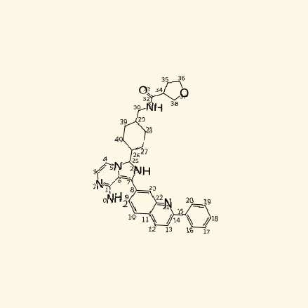 NC1=NC=CN2C1=C(c1ccc3ccc(-c4ccccc4)nc3c1)NC2C1CCC(CNC(=O)C2CCOC2)CC1